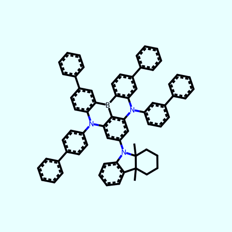 CC12CCCCC1(C)N(c1cc3c4c(c1)N(c1cccc(-c5ccccc5)c1)c1cc(-c5ccccc5)ccc1B4c1cc(-c4ccccc4)ccc1N3c1ccc(-c3ccccc3)cc1)c1ccccc12